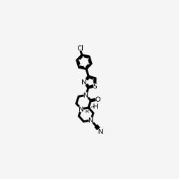 N#CN1CCN2CCN(c3nc(-c4ccc(Cl)cc4)cs3)C(=O)[C@H]2C1